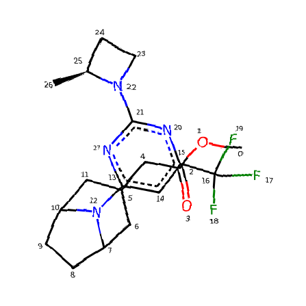 COC(=O)CC1CC2CCC(C1)N2c1cc(C(F)(F)F)nc(N2CC[C@@H]2C)n1